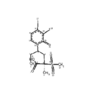 CCC(C[C@](C)(C(=O)O)S(C)(=O)=O)n1ccc(I)c(F)c1=O